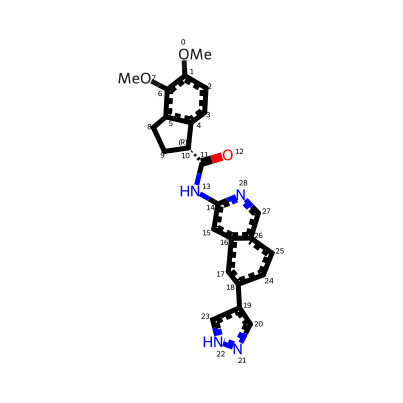 COc1ccc2c(c1OC)CC[C@H]2C(=O)Nc1cc2cc(-c3cn[nH]c3)ccc2cn1